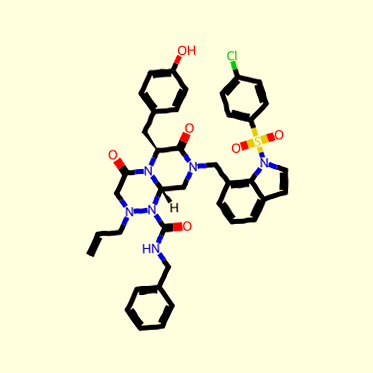 C=CCN1CC(=O)N2[C@@H](Cc3ccc(O)cc3)C(=O)N(Cc3cccc4ccn(S(=O)(=O)c5ccc(Cl)cc5)c34)C[C@@H]2N1C(=O)NCc1ccccc1